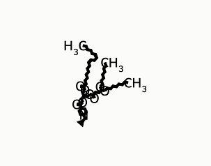 CCCCC/C=C\C/C=C\CCCCCCCC(=O)OCC(COC(=O)CCC(OCCCCCCCC)OCCCCCCCC)COC(=O)C1CCN(CC2CC2)CC1